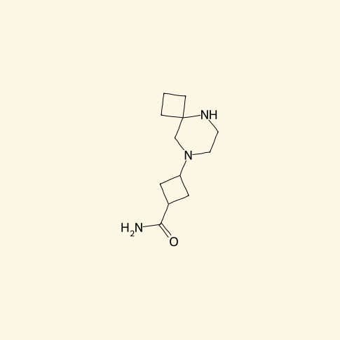 NC(=O)C1CC(N2CCNC3(CCC3)C2)C1